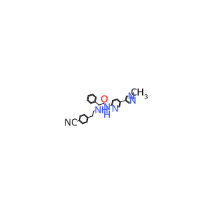 Cn1cc(-c2ccc(NC(=O)C(NCCc3ccc(C#N)cc3)c3ccccc3)nc2)cn1